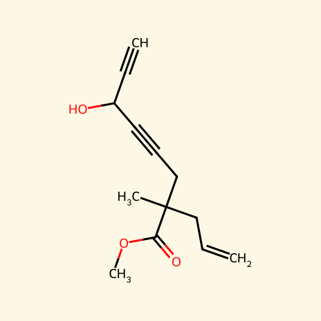 C#CC(O)C#CCC(C)(CC=C)C(=O)OC